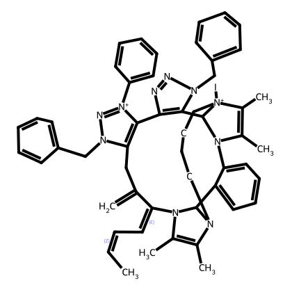 C=C1Cc2c([n+](-c3ccccc3)nn2Cc2ccccc2)-c2nnn(Cc3ccccc3)c2C2N3C(C)=C(C)[N+]2(I)CCCCN2C(C)=C(C)N(/C1=C/C=C\C)C2c1ccccc13